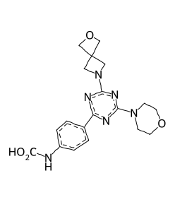 O=C(O)Nc1ccc(-c2nc(N3CCOCC3)nc(N3CC4(COC4)C3)n2)cc1